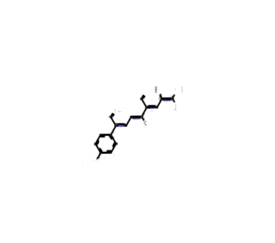 C=CC(=C\C(F)=C(\C)F)/C(F)=C/C=C(\C=C)c1ccc(CCC)cc1